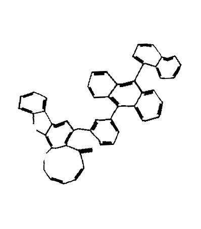 C=C1/C=C\C=C/CSc2c1c(-c1cccc(-c3c4ccccc4c(-c4cccc5ccccc45)c4ccccc34)c1)cc1c2sc2ccccc21